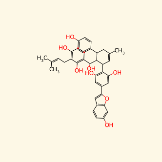 CC(C)=CCc1c(O)ccc(C(O)C2C(c3c(O)cc(-c4cc5ccc(O)cc5o4)cc3O)C=C(C)CC2c2ccc(O)cc2)c1O